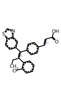 CC/C(=C(/c1ccc(/C=C/C(=O)O)cc1)c1ccc2scnc2c1)c1ccccc1Cl